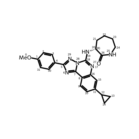 COc1ccc(-c2nc3c4ccc(C5CC5)cc4nc(N[C@@H]4CCCCNC4=O)n3n2)cc1